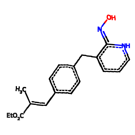 CCOC(=O)C(C)=Cc1ccc(Cc2ccc[nH]c2=NO)cc1